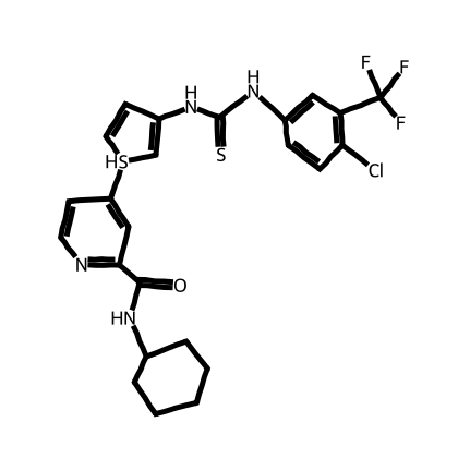 O=C(NC1CCCCC1)c1cc([SH]2C=CC(NC(=S)Nc3ccc(Cl)c(C(F)(F)F)c3)=C2)ccn1